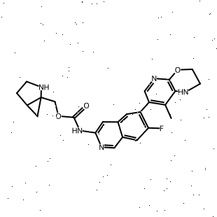 Cc1c(-c2cc3cc(NC(=O)OCC45CC4CCN5)ncc3cc2F)cnc2c1NCCO2